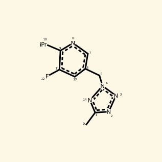 Cc1nnn(Cc2cnc(C(C)C)c(F)c2)n1